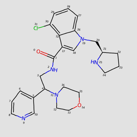 O=C(NCC(c1cccnc1)N1CCOCC1)c1cn(C[C@H]2CCCN2)c2cccc(Cl)c12